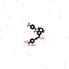 CN(C)c1ccc(CN(C)c2cc(C(O)C#Cc3ccc(C(=O)O)c(O)c3)cc3c2C(C)(C)CCC3(C)C)cc1